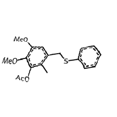 COc1cc(CSc2ccccc2)c(C)c(OC(C)=O)c1OC